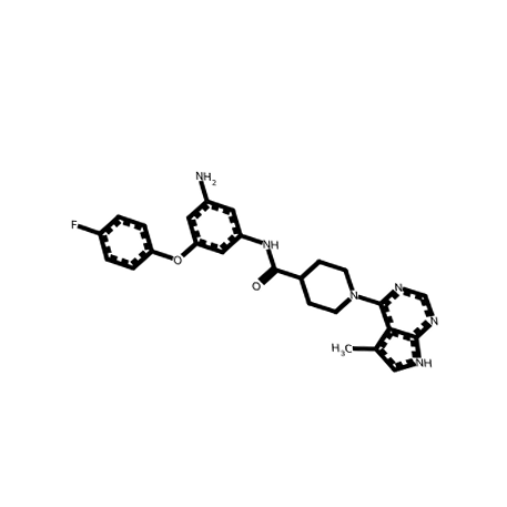 Cc1c[nH]c2ncnc(N3CCC(C(=O)Nc4cc(N)cc(Oc5ccc(F)cc5)c4)CC3)c12